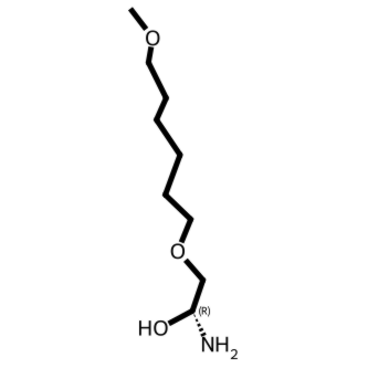 COCCCCCCOC[C@H](N)O